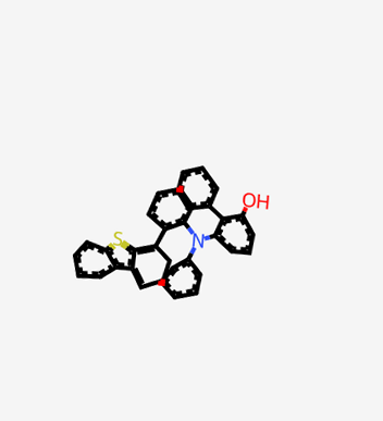 Oc1cccc(N(c2ccccc2)c2ccccc2C2=c3sc4ccccc4c3=CCC2)c1-c1ccccc1